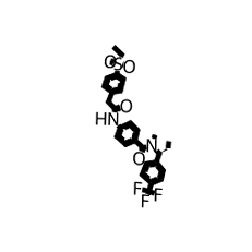 CC[C@H](c1ccc(C(F)(F)F)cc1)N(C)C(=O)c1ccc(NC(=O)Cc2ccc(S(=O)(=O)CC)cc2)cc1